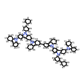 c1ccc(-c2ccc(-n3c4ccc(-n5c6ccccc6c6ccccc65)cc4c4cc(-n5c6ccccc6c6cc(-c7ccc8c(c7)c7ccccc7n8-c7ccc8c(c7)c7cc(-n9c%10ccccc%10c%10ccccc%109)ccc7n8-c7cccc(-c8ccccc8)c7)ccc65)ccc43)cc2)cc1